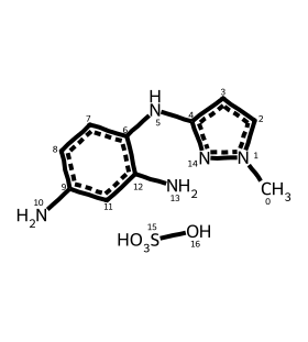 Cn1ccc(Nc2ccc(N)cc2N)n1.O=S(=O)(O)O